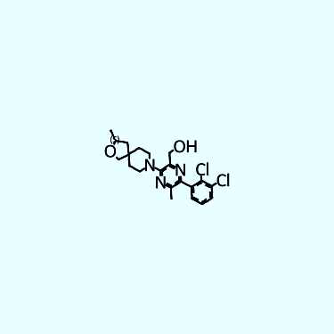 Cc1nc(N2CCC3(CC2)CO[C@@H](C)C3)c(CO)nc1-c1cccc(Cl)c1Cl